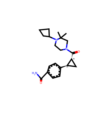 CC1(C)CN(C(=O)[C@@H]2C[C@H]2c2ccc(C(N)=O)cc2)CCN1C1CCC1